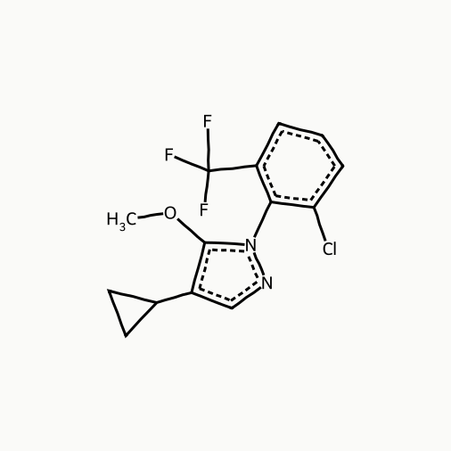 COc1c(C2CC2)cnn1-c1c(Cl)cccc1C(F)(F)F